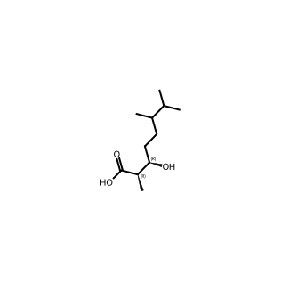 CC(C)C(C)CC[C@@H](O)[C@@H](C)C(=O)O